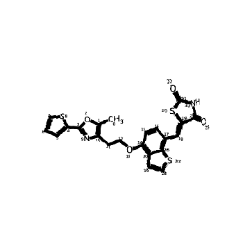 Cc1oc(-c2cccs2)nc1CCOc1ccc(C=C2SC(=O)NC2=O)c2sccc12